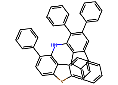 c1ccc(-c2cc3c(c(Nc4c(-c5ccccc5)ccc5sc6ccccc6c45)c2-c2ccccc2)Cc2ccccc2-3)cc1